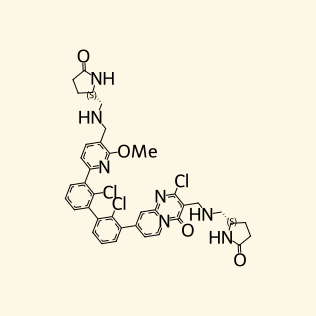 COc1nc(-c2cccc(-c3cccc(-c4ccn5c(=O)c(CNC[C@@H]6CCC(=O)N6)c(Cl)nc5c4)c3Cl)c2Cl)ccc1CNC[C@@H]1CCC(=O)N1